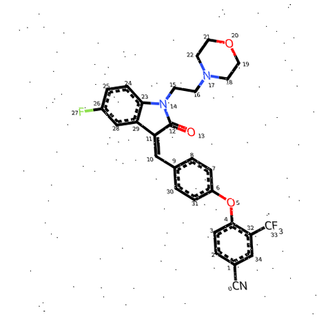 N#Cc1ccc(Oc2ccc(C=C3C(=O)N(CCN4CCOCC4)c4ccc(F)cc43)cc2)c(C(F)(F)F)c1